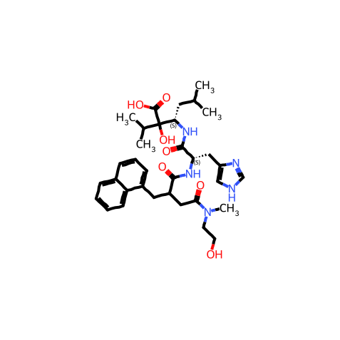 CC(C)C[C@H](NC(=O)[C@H](Cc1c[nH]cn1)NC(=O)C(CC(=O)N(C)CCO)Cc1cccc2ccccc12)C(O)(C(=O)O)C(C)C